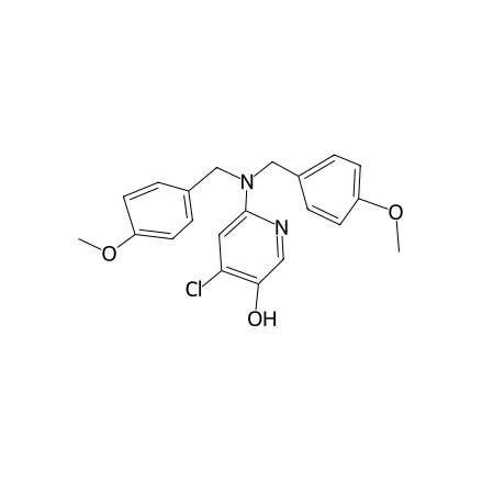 COc1ccc(CN(Cc2ccc(OC)cc2)c2cc(Cl)c(O)cn2)cc1